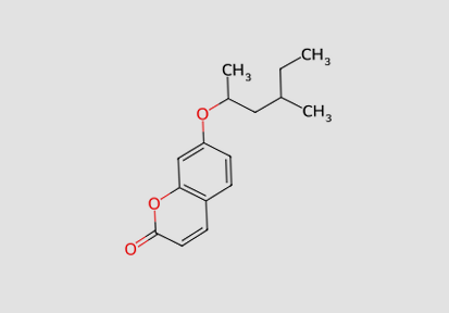 CCC(C)CC(C)Oc1ccc2ccc(=O)oc2c1